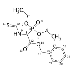 CCOP(=O)(OCC)C(NC=S)C(=O)OCc1ccccc1